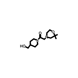 CC1(C)CN(CC(=O)N2CCC(CO)CC2)CCO1